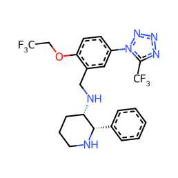 FC(F)(F)COc1ccc(-n2nnnc2C(F)(F)F)cc1CN[C@H]1CCCN[C@H]1c1ccccc1